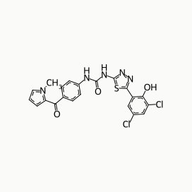 Cn1cccc1C(=O)c1ccc(NC(=O)Nc2nnc(-c3cc(Cl)cc(Cl)c3O)s2)cc1